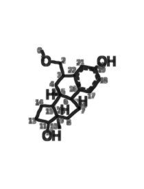 COCC1C[C@@H]2[C@H](CC[C@]3(C)C(O)CC[C@@H]23)c2ccc(O)cc21